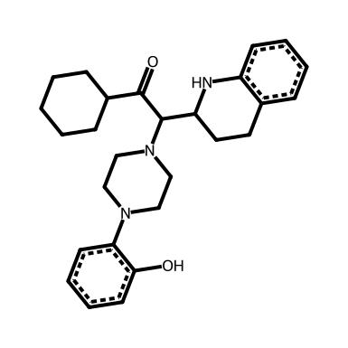 O=C(C1CCCCC1)C(C1CCc2ccccc2N1)N1CCN(c2ccccc2O)CC1